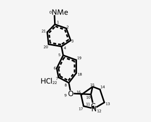 CNc1ccc(-c2ccc(OC3CN4CCC3CC4)cc2)cc1.Cl